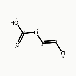 O=C(O)OC=CCl